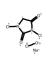 O=C1CN(Cl)C(=O)N1Cl.[Na+].[O-]Cl